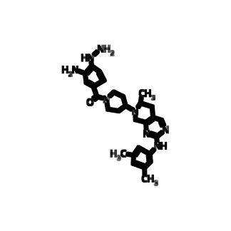 Cc1cc(C)cc(Nc2ncc3c(n2)CN(C2CCN(C(=O)c4ccc(NN)c(N)c4)CC2)C(C)C3)c1